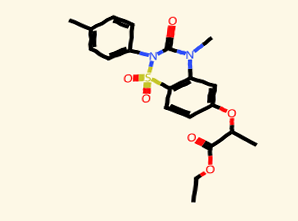 CCOC(=O)C(C)Oc1ccc2c(c1)N(C)C(=O)N(c1ccc(C)cc1)S2(=O)=O